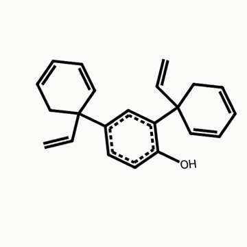 C=CC1(c2ccc(O)c(C3(C=C)C=CC=CC3)c2)C=CC=CC1